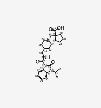 CC(C)n1c(=O)n(C(=O)NCC2CCN(CC3(C(=O)O)CCCC3)CC2)c2ccccc21